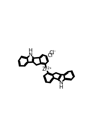 [Cl-].[Cl-].c1c[c]([Zr+2][c]2cccc3c2Cc2c-3[nH]c3ccccc23)c2c(c1)-c1[nH]c3ccccc3c1C2